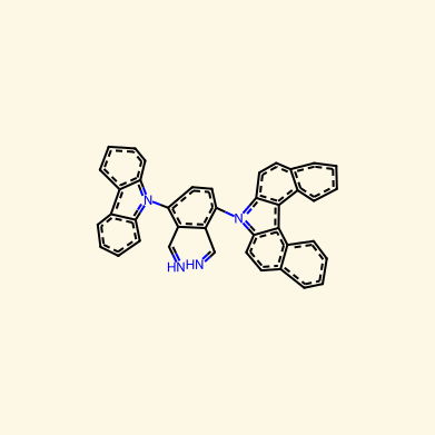 N=Cc1c(-n2c3ccccc3c3ccccc32)ccc(-n2c3ccc4ccccc4c3c3c4ccccc4ccc32)c1C=N